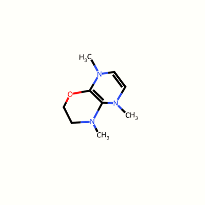 CN1C=CN(C)C2=C1OCCN2C